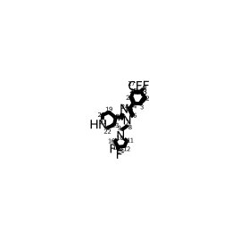 Fc1ccc(-c2cn(CCN3CCC(F)(F)C3)c(C3CCNCC3)n2)cc1C(F)(F)F